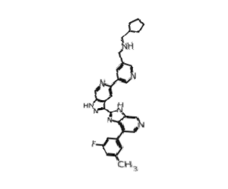 Cc1cc(F)cc(-c2cncc3[nH]c(-c4n[nH]c5cnc(-c6cncc(CNCC7CCCC7)c6)cc45)nc23)c1